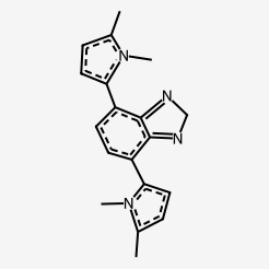 Cc1ccc(-c2ccc(-c3ccc(C)n3C)c3c2=NCN=3)n1C